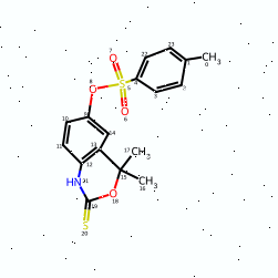 Cc1ccc(S(=O)(=O)Oc2ccc3c(c2)C(C)(C)OC(=S)N3)cc1